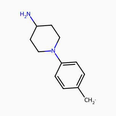 [CH2]c1ccc(N2CCC(N)CC2)cc1